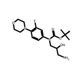 CC(C)(C)OC(=O)N(CC(O)CN)c1ccc(N2CCOCC2)c(F)c1